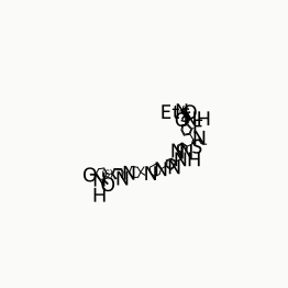 CCN(C)S(=O)(=O)Nc1cccc(-c2nc(C)sc2-c2ccnc(Nc3ccc(N4CCN(CC5(C)CCN(c6ccc([C@@H]7CCC(=O)NC7=O)cn6)CC5)CC4)cn3)n2)c1F